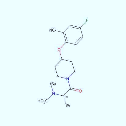 CC(C)[C@@H](C(=O)N1CCC(Oc2ccc(F)cc2C#N)CC1)N(C(=O)O)C(C)(C)C